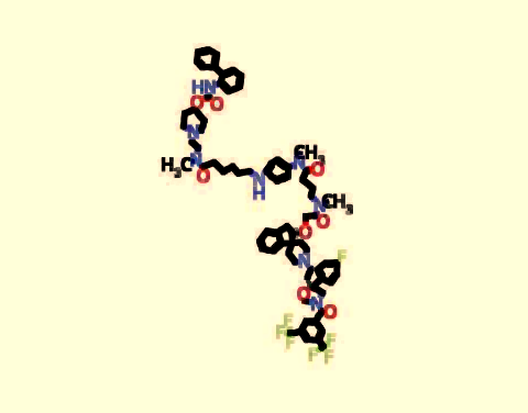 CN(CCN1CCC(OC(=O)Nc2ccccc2-c2ccccc2)CC1)C(=O)CCCCCNc1ccc(N(C)C(=O)CCCN(C)C(=O)CO[C@H]2Cc3ccccc3C23CCN(CC[C@]2(c4ccc(F)cc4)CN(C(=O)c4cc(C(F)(F)F)cc(C(F)(F)F)c4)CO2)CC3)cc1